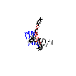 O=C(CCOCc1ccccc1)Nc1cccc(C(=O)Nc2ccccc2C(=O)O)c1